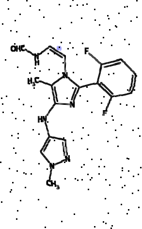 Cc1c(Nc2cnn(C)c2)nc(-c2c(F)cccc2F)n1/C=C\NC=O